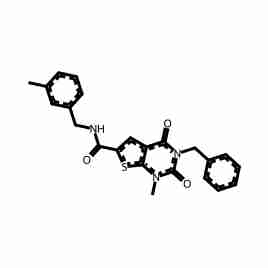 Cc1cccc(CNC(=O)c2cc3c(=O)n(Cc4ccccc4)c(=O)n(C)c3s2)c1